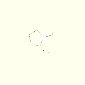 CCN1CCOP1OC